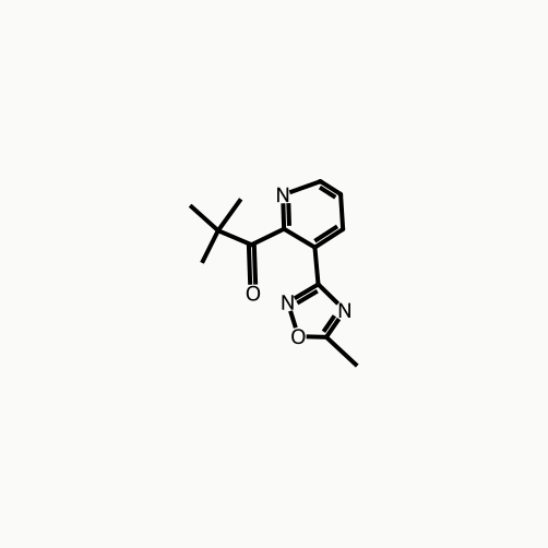 Cc1nc(-c2cccnc2C(=O)C(C)(C)C)no1